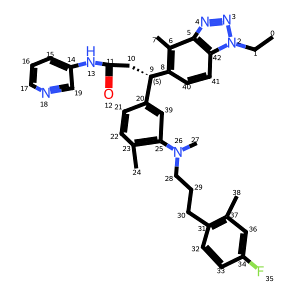 CCn1nnc2c(C)c([C@@H](CC(=O)Nc3cccnc3)c3ccc(C)c(N(C)CCCc4ccc(F)cc4C)c3)ccc21